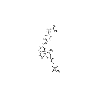 Cc1cc(OCCCS(C)(=O)=O)cc2c1-c1cc(COc3ccc([C@H]4C[C@@H]4C(=O)O)cc3)ccc1CC2